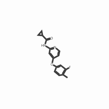 Cc1ccc(Oc2ccnc(NC(=O)C3CC3)c2)cc1F